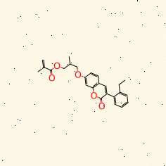 C=C(C)C(=O)OCC(C)COc1ccc2cc(-c3ccccc3CC)c(=O)oc2c1